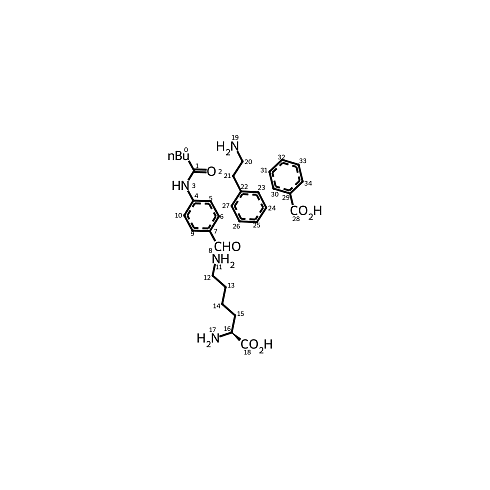 CCCCC(=O)Nc1ccc(C=O)cc1.NCCCC[C@H](N)C(=O)O.NCCc1ccccc1.O=C(O)c1ccccc1